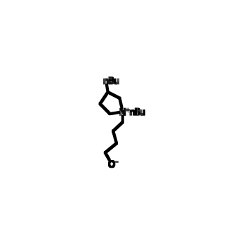 CCCCC1CC[N+](CCCC)(CCCC[O-])C1